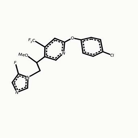 COC(Cn1cncc1F)c1cnc(Oc2ccc(Cl)cc2)cc1C(F)(F)F